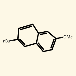 CCCCc1ccc2cc(OC)ccc2c1